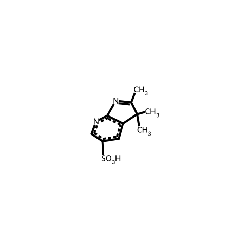 CC1=Nc2ncc(S(=O)(=O)O)cc2C1(C)C